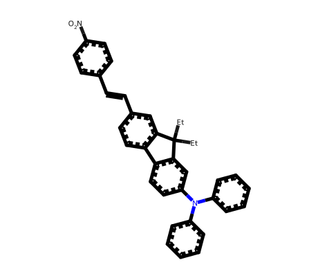 CCC1(CC)c2cc(/C=C/c3ccc([N+](=O)[O-])cc3)ccc2-c2ccc(N(c3ccccc3)c3ccccc3)cc21